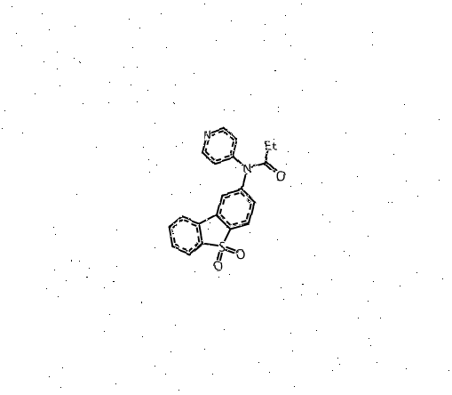 CCC(=O)N(c1ccncc1)c1ccc2c(c1)-c1ccccc1S2(=O)=O